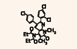 CCC(=O)N(C(=O)CC)c1c(C)c(=O)n(C)c2nc(-c3ccc(Cl)cc3Cl)c(-c3ccc(Cl)cc3)cc12